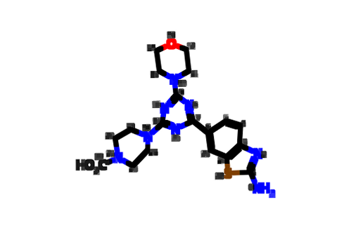 Nc1nc2ccc(-c3nc(N4CCOCC4)nc(N4CCN(C(=O)O)CC4)n3)cc2s1